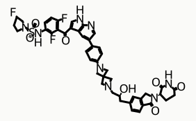 O=C1CC[C@H](N2Cc3cc(C[C@H](O)CN4CC5(C4)CN(c4ccc(-c6cnc7[nH]cc(C(=O)c8c(F)ccc(NS(=O)(=O)N9CC[C@@H](F)C9)c8F)c7c6)cc4)C5)ccc3C2=O)C(=O)N1